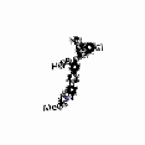 CCC(C)N1CC(OC)S/C1=N/c1ccc(N2CCN(c3ccc(OCC4COC(Cn5ccnc5)(c5ccc(Cl)cc5Cl)O4)cc3)CC2)cc1.CCCCO